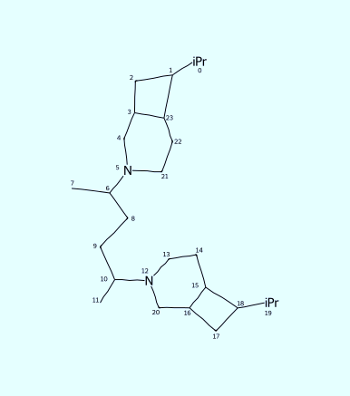 CC(C)C1CC2CN(C(C)CCC(C)N3CCC4C(CC4C(C)C)C3)CCC21